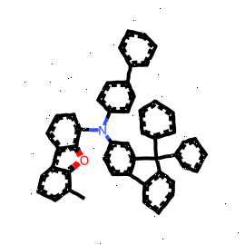 Cc1cccc2c1oc1c(N(c3ccc(-c4ccccc4)cc3)c3ccc4c(c3)C(c3ccccc3)(c3ccccc3)c3ccccc3-4)cccc12